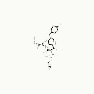 [C-]#[N+]CCNC(=O)c1c(O)c2ncc(Cc3ccc(F)cc3)c3c2n(c1=O)C[C@@](C)(C(=O)NC)O3